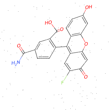 NC(=O)c1ccc(-c2c3cc(F)c(=O)cc-3oc3cc(O)ccc23)c(C(=O)O)c1